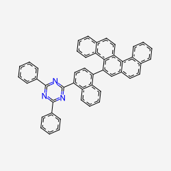 c1ccc(-c2nc(-c3ccccc3)nc(-c3ccc(-c4cc5ccc6ccccc6c5c5ccc6ccccc6c45)c4ccccc34)n2)cc1